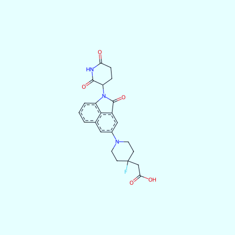 O=C(O)CC1(F)CCN(c2cc3c4c(cccc4c2)N(C2CCC(=O)NC2=O)C3=O)CC1